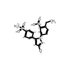 CCc1ccc(-n2nc(Cl)cc2-c2ccc(S(C)(=O)=O)cc2)cc1[N+](=O)[O-]